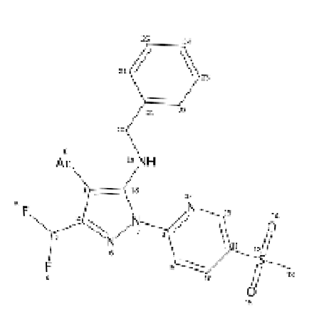 CC(=O)c1c(C(F)F)nn(-c2ccc(S(C)(=O)=O)cn2)c1NCc1ccccc1